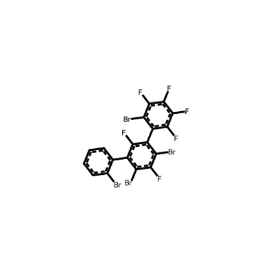 Fc1c(F)c(F)c(-c2c(F)c(-c3ccccc3Br)c(Br)c(F)c2Br)c(Br)c1F